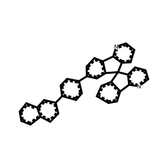 c1ccc2c(c1)-c1ncccc1C21c2cc(-c3ccc(-c4ccc5ccccc5c4)cc3)ccc2-c2ncccc21